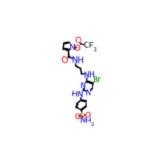 NS(=O)(=O)c1ccc(Nc2ncc(Br)c(NCCCNC(=O)c3cccn3OC(=O)C(F)(F)F)n2)cc1